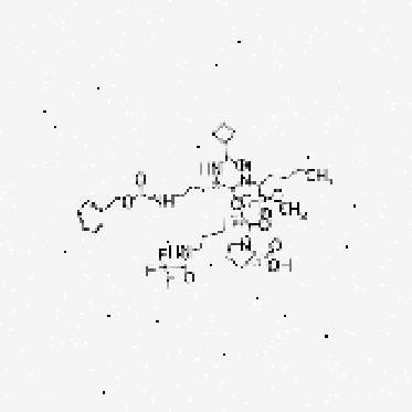 CCCCC(NC(=O)[C@H](CCCCNC(=O)OCc1ccccc1)NC(=O)C1CCC1)P(=O)(OC)O[C@@H](CCCCNC(=O)C(F)(F)F)C(=O)N1CCC[C@H]1C(=O)O